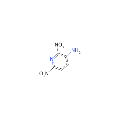 Nc1ccc([N+](=O)[O-])nc1[N+](=O)[O-]